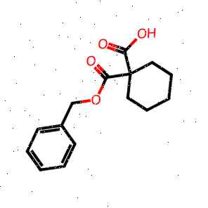 O=C(O)C1(C(=O)OCc2ccccc2)CCCCC1